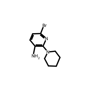 Nc1ccc(Br)nc1N1CCCCC1